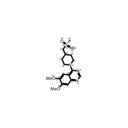 COc1cc2ncnc(N3CCC(C[S@@](C)(=N)=O)CC3)c2cc1OC